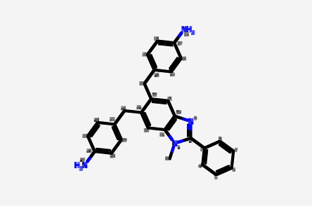 Cn1c(-c2ccccc2)nc2cc(Cc3ccc(N)cc3)c(Cc3ccc(N)cc3)cc21